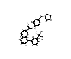 O=C(Nc1ccc(CN2CCCC2)nc1)c1ccc2cccc(-c3cccc(C(F)(F)F)c3)c2n1